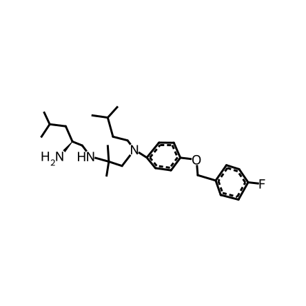 CC(C)CCN(CC(C)(C)NC[C@@H](N)CC(C)C)c1ccc(OCc2ccc(F)cc2)cc1